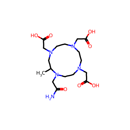 CC1CN(CC(=O)O)CCN(CC(=O)O)CCN(CC(=O)O)CCN1CC(N)=O